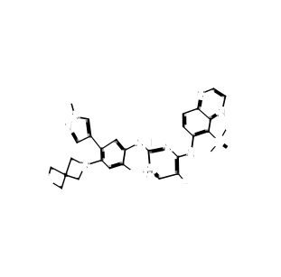 COc1cc(N2CC3(COC3)C2)c(-c2cnn(C)c2)cc1Nc1ncc(Br)c(Nc2ccc3nccnc3c2P(C)(C)=O)n1